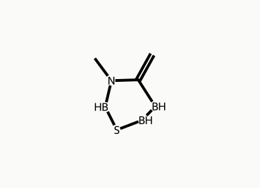 C=C1BBSBN1C